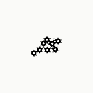 c1ccc(-c2ccc(N(c3ccccc3)c3cccc(-n4c5ccccc5c5c6c7ccccc7oc6c6c7ccccc7sc6c54)c3)cc2)cc1